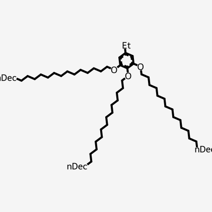 CCCCCCCCCCCCCCCCCCCCCCCCOc1cc(CC)cc(OCCCCCCCCCCCCCCCCCCCCCCCC)c1OCCCCCCCCCCCCCCCCCCCCCCCC